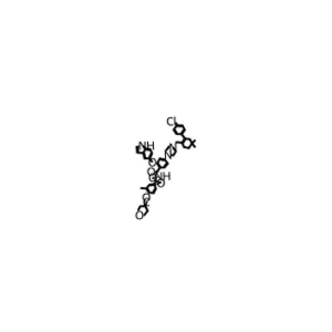 Cc1cc(S(=O)(=O)NC(=O)c2ccc(N3CCN(CC4=C(c5ccc(Cl)cc5)CC(C)(C)CC4)CC3)cc2Oc2ccc3[nH]ccc3c2)ccc1OCC1CCOCC1